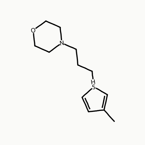 CC1=C[SH](CCCN2CCOCC2)C=C1